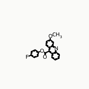 COc1ccc2c(C(=O)Oc3ccc(F)cc3)c3ccccc3nc2c1